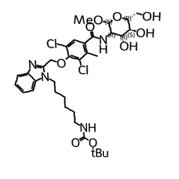 CO[C@H]1O[C@H](CO)[C@@H](O)[C@H](O)[C@H]1NC(=O)c1cc(Cl)c(OCc2nc3ccccc3n2CCCCCCNC(=O)OC(C)(C)C)c(Cl)c1C